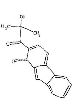 CC(C)(O)C(=O)C1=CC=C2C(=Cc3ccccc32)C1=O